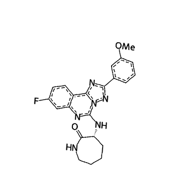 COc1cccc(-c2nc3c4ccc(F)cc4nc(N[C@@H]4CCCCNC4=O)n3n2)c1